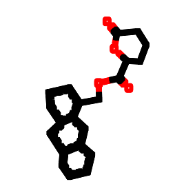 O=C1CCCC(C(=O)OCc2cccc3cc4ccccc4cc23)O1